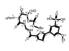 CCCCC[C@@H](C(=O)NCNC(=O)c1ccc(-c2cc(OCC)cc(P(=O)(O)O)c2)o1)[C@@H](CC)N(C=O)OC(=O)OC(C)(C)C